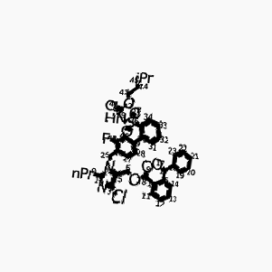 CCCc1nc(Cl)c(COC(=O)c2ccccc2C(=O)c2ccccc2)n1Cc1ccc(-c2ccccc2S(=O)(=O)NC(=O)OCCC(C)C)cc1F